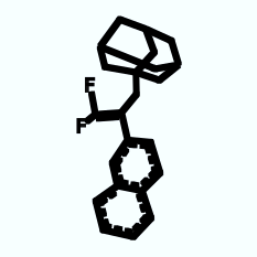 FC(F)=C(CC12CC3CC(CC(C3)C1)C2)c1ccc2ccccc2c1